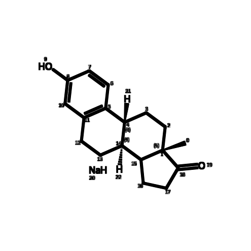 C[C@]12CC[C@H]3c4ccc(O)cc4CC[C@@H]3C1CCC2=O.[NaH]